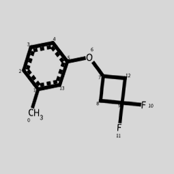 Cc1cc[c]c(OC2CC(F)(F)C2)c1